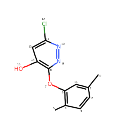 Cc1ccc(C)c(Oc2nnc(Cl)cc2O)c1